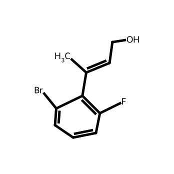 C/C(=C\CO)c1c(F)cccc1Br